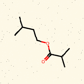 C[C](C)C(=O)OCCC(C)C